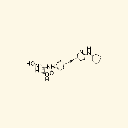 C[C@@H](O)[C@H](CNO)NC(=O)c1ccc(C#Cc2ccc(NC3CCCCC3)nc2)cc1